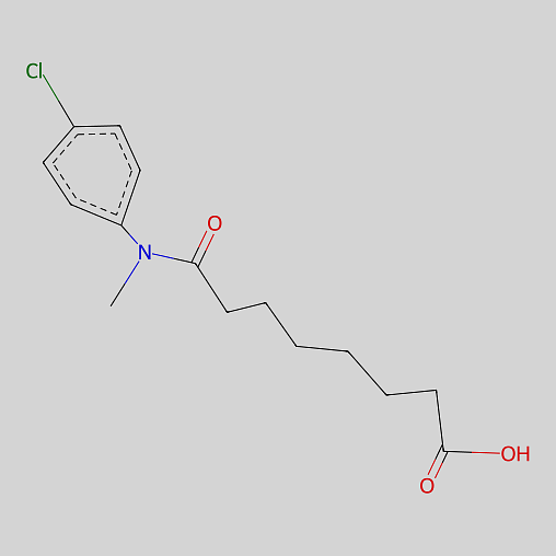 CN(C(=O)CCCCCCC(=O)O)c1ccc(Cl)cc1